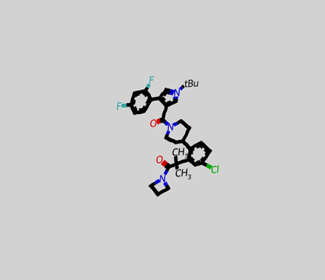 CC(C)(C(=O)N1CCC1)c1cc(Cl)ccc1C1CCN(C(=O)c2cn(C(C)(C)C)cc2-c2ccc(F)cc2F)CC1